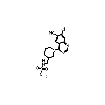 CS(=O)(=O)NCC1CCCN(c2ncnc3cc(Cl)c(C#N)cc23)C1